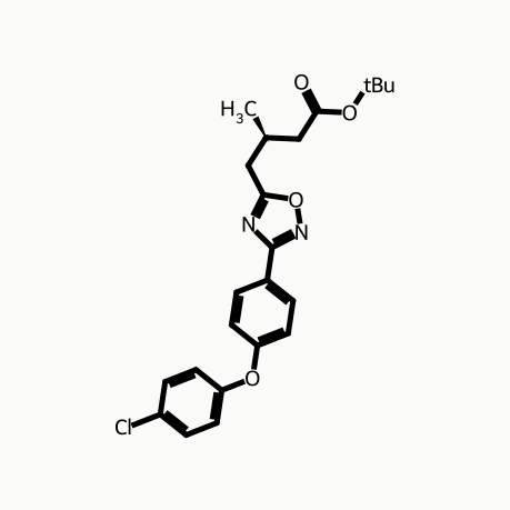 C[C@@H](CC(=O)OC(C)(C)C)Cc1nc(-c2ccc(Oc3ccc(Cl)cc3)cc2)no1